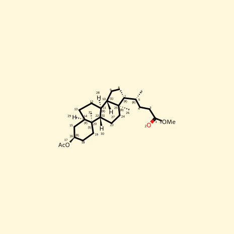 COC(=O)CC[C@@H](C)[C@H]1CC[C@H]2[C@@H]3CC[C@@H]4C[C@H](OC(C)=O)CC[C@]4(C)[C@H]3CC[C@]12C